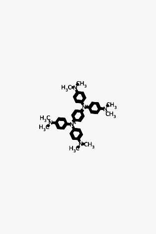 CN(C)c1ccc([N+](=C2C=CC(=[N+](c3ccc(N(C)C)cc3)c3ccc(N(C)C)cc3)C=C2)c2ccc(N(C)C)cc2)cc1